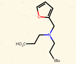 CC(C)(C)CCN(CCC(=O)O)Cc1ccco1